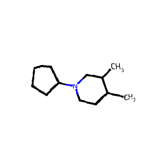 CC1CCN(C2CCCC2)CC1C